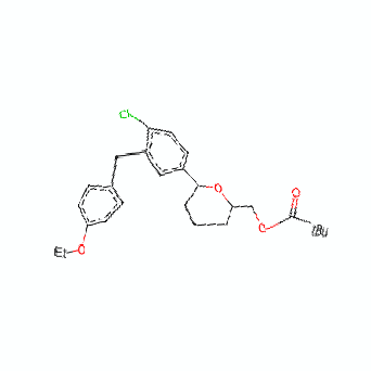 CCOc1ccc(Cc2cc(C3CCCC(COC(=O)C(C)(C)C)O3)ccc2Cl)cc1